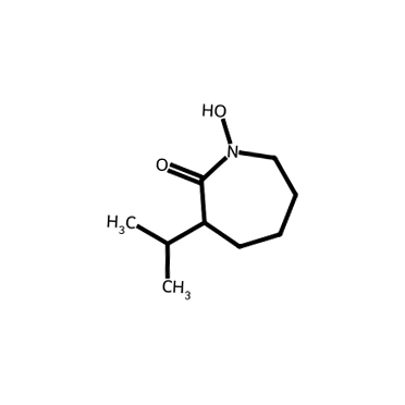 CC(C)C1CCCCN(O)C1=O